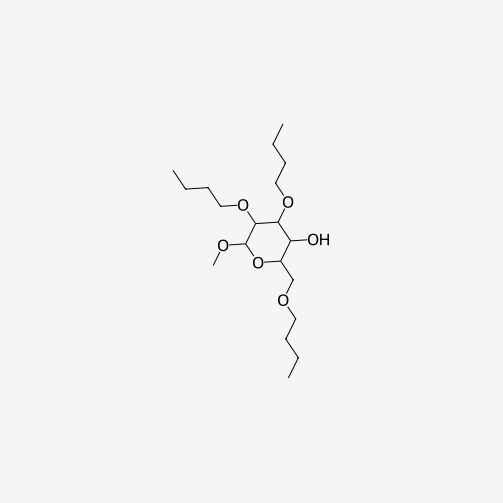 CCCCOCC1OC(OC)C(OCCCC)C(OCCCC)C1O